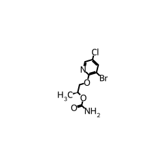 C[C@@H](COc1ncc(Cl)cc1Br)OC(N)=O